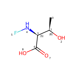 C[C@@H](O)[C@H](NF)C(=O)O